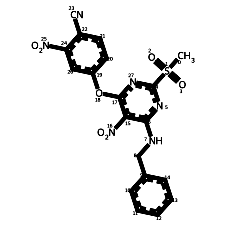 CS(=O)(=O)c1nc(NCc2ccccc2)c([N+](=O)[O-])c(Oc2ccc(C#N)c([N+](=O)[O-])c2)n1